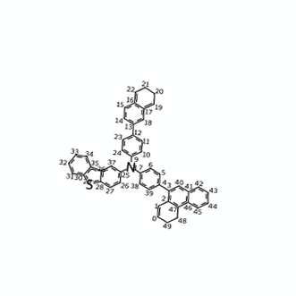 C1=Cc2c(-c3ccc(N(c4ccc(-c5ccc6c(c5)=CCCC=6)cc4)c4ccc5sc6ccccc6c5c4)cc3)cc3ccccc3c2CC1